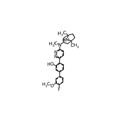 COc1cc(-c2ccc(-c3ccc(N(C)C4C[C@]5(C)CC[C@](C)(C4)N5)nn3)c(O)c2)ccc1F